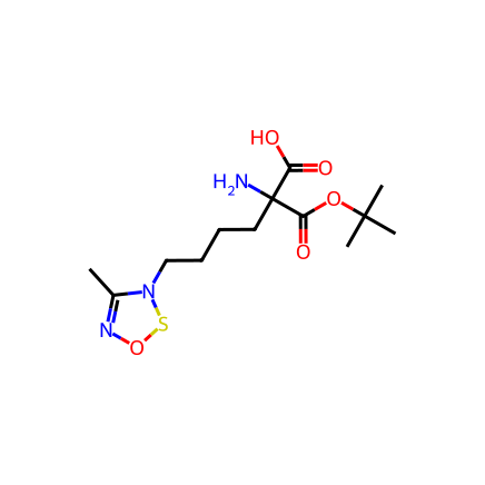 CC1=NOSN1CCCCC(N)(C(=O)O)C(=O)OC(C)(C)C